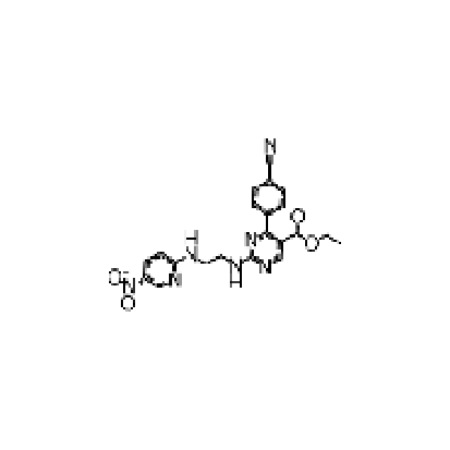 CCOC(=O)c1cnc(NCCNc2ccc([N+](=O)[O-])cn2)nc1-c1ccc(C#N)cc1